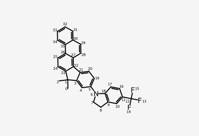 CC1(C)c2cc(N3CCc4cc(C(F)(F)F)ccc43)ccc2-c2c1ccc1c2ccc2ccccc21